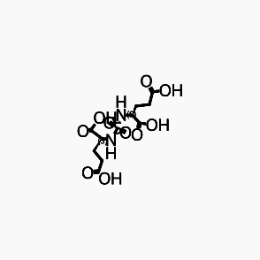 O=C(O)CC[C@H](NS(=O)(=O)N[C@@H](CCC(=O)O)C(=O)O)C(=O)O